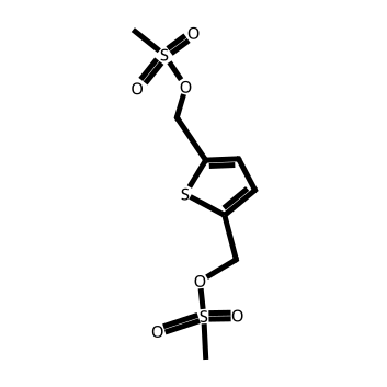 CS(=O)(=O)OCc1ccc(COS(C)(=O)=O)s1